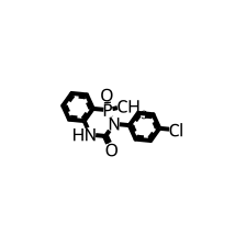 CP1(=O)c2ccccc2NC(=O)N1c1ccc(Cl)cc1